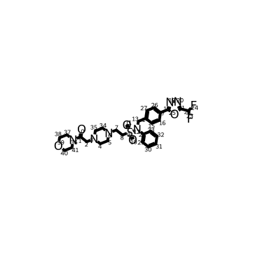 O=C(CN1CCN(CCS(=O)(=O)N(Cc2ccc(-c3nnc(C(F)F)o3)cc2)c2ccccc2)CC1)N1CCOCC1